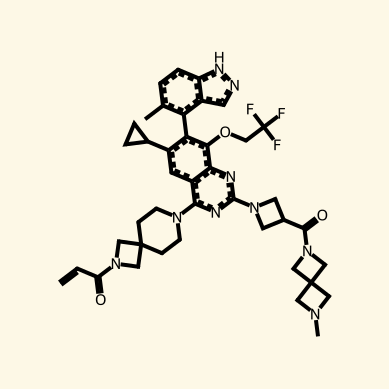 C=CC(=O)N1CC2(CCN(c3nc(N4CC(C(=O)N5CC6(CN(C)C6)C5)C4)nc4c(OCC(F)(F)F)c(-c5c(C)ccc6[nH]ncc56)c(C5CC5)cc34)CC2)C1